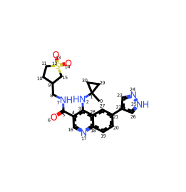 CC1(Nc2c(C(=O)NCC3CCS(=O)(=O)C3)cnc3ccc(-c4cn[nH]c4)cc23)CC1